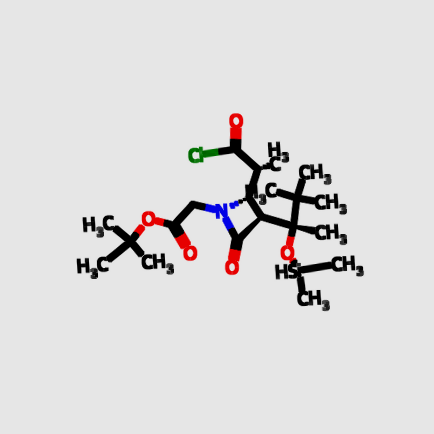 C[C@@H](C(=O)Cl)[C@@H]1[C@@H]([C@@](C)(O[SiH](C)C)C(C)(C)C)C(=O)N1CC(=O)OC(C)(C)C